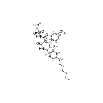 CCCCCCOc1ccc([C@]2(C)CC(c3ccc(OC)cc3)=C(C(=O)NS(=O)(=O)C3CC3)C(=O)N2)c(F)c1